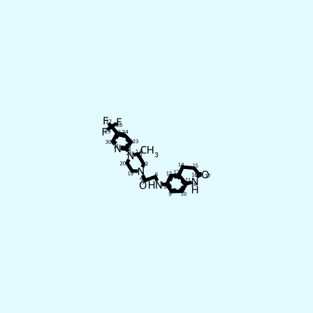 C[C@@H]1CN(C(=O)CNc2ccc3c(c2)CCC(=O)N3)CCN1c1ccc(C(F)(F)F)cn1